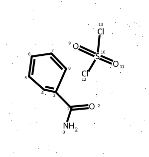 NC(=O)c1ccccc1.O=S(=O)(Cl)Cl